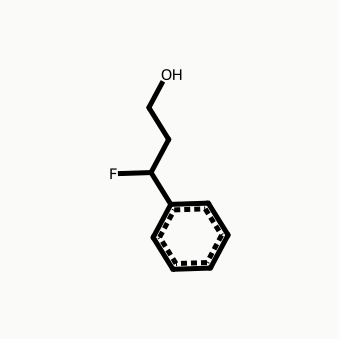 OCCC(F)c1ccccc1